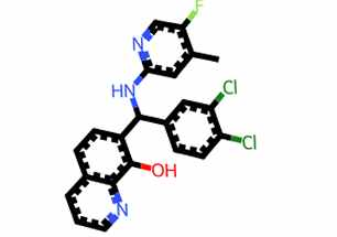 Cc1cc(NC(c2ccc(Cl)c(Cl)c2)c2ccc3cccnc3c2O)ncc1F